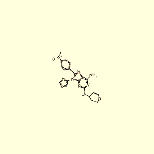 CN(c1nc(N)c2nc(-c3ccc([S+](C)[O-])cc3)n(-c3cscn3)c2n1)C1CCOCC1